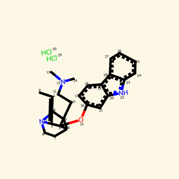 CC=C1N2CCC(CC2)C1(CCN(C)C)Oc1ccc2c(c1)[nH]c1ccccc12.Cl.Cl